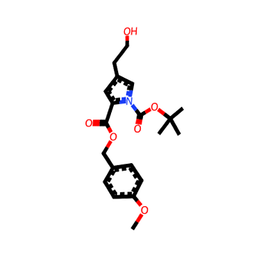 COc1ccc(COC(=O)c2cc(CCO)cn2C(=O)OC(C)(C)C)cc1